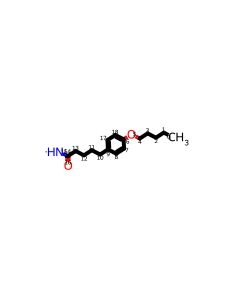 CCCCCOc1ccc(CCCCC([NH])=O)cc1